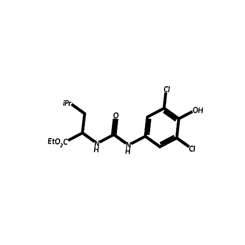 CCOC(=O)C(CC(C)C)NC(=O)Nc1cc(Cl)c(O)c(Cl)c1